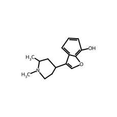 CC1CC(c2coc3c(O)cccc23)CCN1C